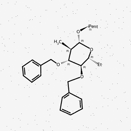 CCC[C@H](C)O[C@@H]1O[C@H](CC)[C@@H](OCc2ccccc2)[C@H](OCc2ccccc2)[C@H]1C